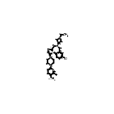 Cc1ccc(N2CCN(c3nnc4n3-c3ccc(Cl)cc3CN(C3CN(CC(F)(F)F)C3)C4)CC2)nc1F